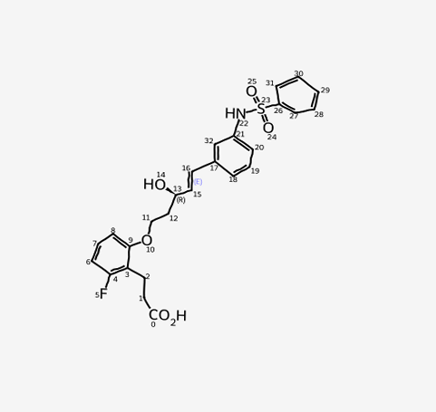 O=C(O)CCc1c(F)cccc1OCC[C@@H](O)/C=C/c1cccc(NS(=O)(=O)c2ccccc2)c1